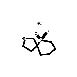 Cl.O=S1(=O)CCCCC12CCNC2